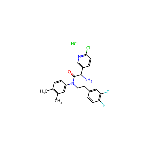 Cc1ccc(N(CCc2ccc(F)c(F)c2)C(=O)C(N)c2ccc(Cl)nc2)cc1C.Cl